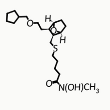 CN(O)C(=O)CCCCSC[C@H]1[C@@H](CCOCC2CCCC2)[C@H]2CC[C@@H]1O2